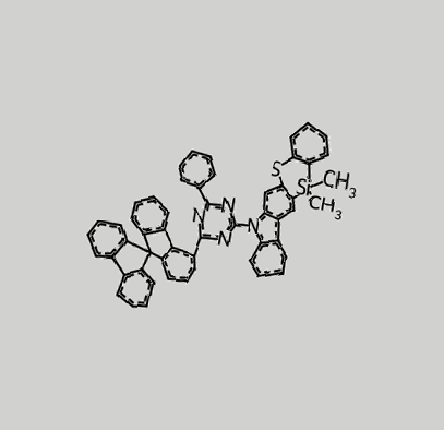 C[Si]1(C)c2ccccc2Sc2cc3c(cc21)c1ccccc1n3-c1nc(-c2ccccc2)nc(-c2cccc3c2-c2ccccc2C32c3ccccc3-c3ccccc32)n1